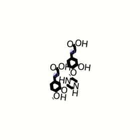 C1CNCCN1.COc1ccc(/C=C/C(=O)O)cc1O.COc1ccc(/C=C/C(=O)O)cc1O